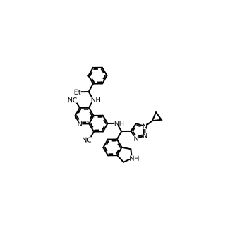 CCC(Nc1c(C#N)cnc2c(C#N)cc(NC(c3cn(C4CC4)nn3)c3cccc4c3CNC4)cc12)c1ccccc1